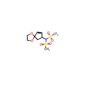 CS(=O)(=O)N(C1C=CC2(C1)OCCO2)S(=O)(=O)C(F)(F)F